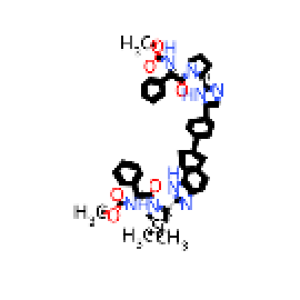 COC(=O)N[C@@H](C(=O)N1CCC[C@H]1c1ncc(-c2ccc(-c3ccc4c(ccc5nc([C@@H]6C[Si](C)(C)CN6C(=O)[C@H](NC(=O)OC)c6ccccc6)[nH]c54)c3)cc2)[nH]1)c1ccccc1